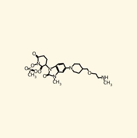 CNCCOCC1CCN(c2ccc3c(c2)n(C)c(=O)n3C2CCC(=O)N(OS(C)(=O)=O)C2=O)CC1